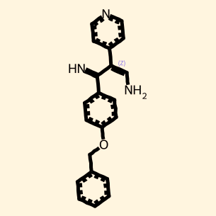 N=C(/C(=C\N)c1ccncc1)c1ccc(OCc2ccccc2)cc1